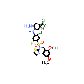 COc1ccc(CN(c2nccs2)S(=O)(=O)c2cc(Cl)c(N[C@H]3C[C@H]4C(CC3N)C4(Cl)Cl)cc2F)c(OC)c1